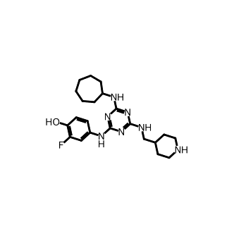 Oc1ccc(Nc2nc(NCC3CCNCC3)nc(NC3CCCCCC3)n2)cc1F